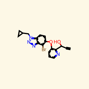 C#CC(O)c1ncccc1Oc1ccc2c(nnn2CC2CC2)c1Br